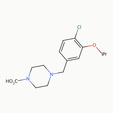 CC(C)Oc1cc(CN2CCN(C(=O)O)CC2)ccc1Cl